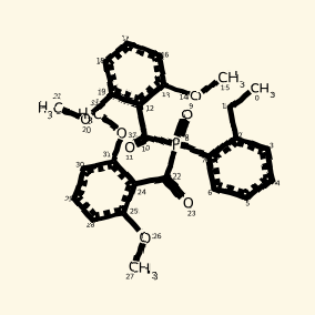 CCc1ccccc1P(=O)(C(=O)c1c(OC)cccc1OC)C(=O)c1c(OC)cccc1OC